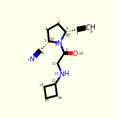 C#C[C@H]1CC[C@@H](C#N)N1C(=O)CNC1CCC1